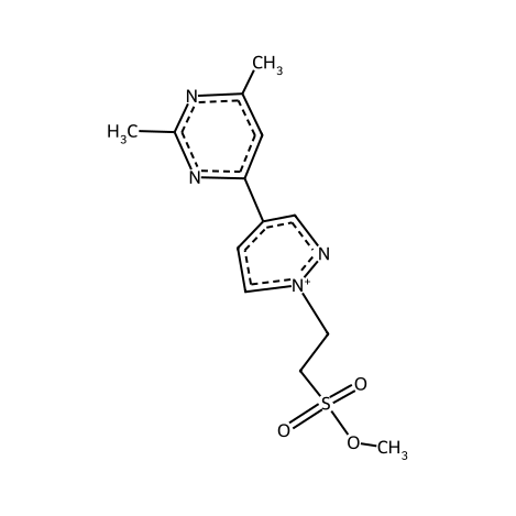 COS(=O)(=O)CC[n+]1ccc(-c2cc(C)nc(C)n2)cn1